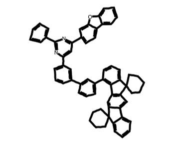 c1ccc(-c2nc(-c3cccc(-c4cccc(-c5cccc6c5-c5cc7c(cc5C65CCCCC5)-c5ccccc5C75CCCCC5)c4)c3)cc(-c3ccc4c(c3)oc3ccccc34)n2)cc1